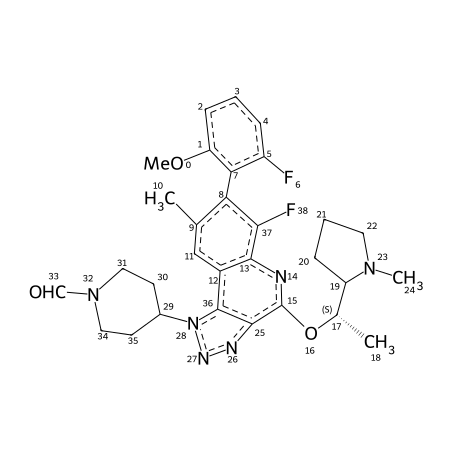 COc1cccc(F)c1-c1c(C)cc2c(nc(O[C@@H](C)C3CCCN3C)c3nnn(C4CCN(C=O)CC4)c32)c1F